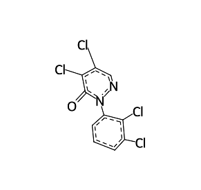 O=c1c(Cl)c(Cl)cnn1-c1cccc(Cl)c1Cl